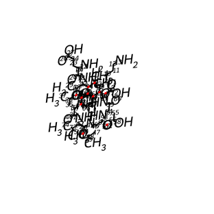 CC(C)C[C@H](NC(=O)[C@H](CCCCN)NC(=O)[C@@H](NC(=O)[C@@H](N)CCC(=O)O)[C@@H](C)O)C(=O)N[C@@H](CC(C)C)C(=O)N[C@H](C(=O)N[C@@H](CC(C)C)C(=O)N[C@@H](CC(=O)O)C(=O)N[C@@H](Cc1ccccc1)C(=O)O)C(C)C